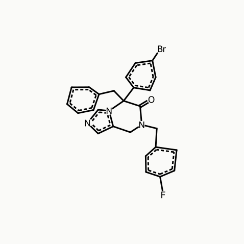 O=C1N(Cc2ccc(F)cc2)Cc2cncn2C1(Cc1ccccc1)c1ccc(Br)cc1